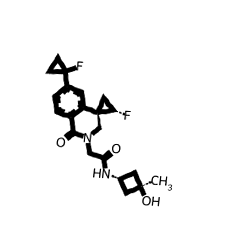 C[C@]1(O)C[C@H](NC(=O)CN2C[C@]3(C[C@@H]3F)c3cc(C4(F)CC4)ccc3C2=O)C1